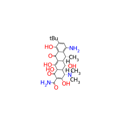 C[C@H]1c2c(N)cc(C(C)(C)C)c(O)c2C(=O)C2=C(O)[C@]3(O)C(=O)C(C(N)=O)=C(O)[C@@H](N(C)C)[C@@H]3[C@@H](O)[C@@H]21